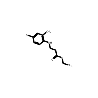 CCOC(=O)CCNc1ccc(Br)cc1C